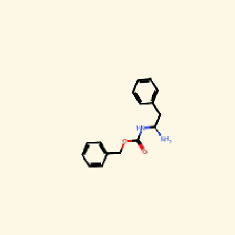 N[C@H](Cc1ccccc1)NC(=O)OCc1ccccc1